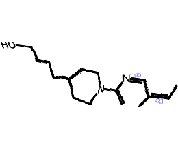 C=C(/N=C\C(C)=C/C)N1CCC(CCCCO)CC1